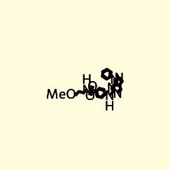 COCCCNS(=O)(=O)c1ccc(Nc2ncc3cnn(-c4ccccc4)c3n2)cc1